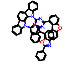 c1ccc(-c2nc(-c3cccc4oc5ccccc5c34)nc(-n3c4ccccc4c4ccc5c6ccccc6n(-c6ccc(-c7cccc8nc(-c9ccccc9)oc78)cc6)c5c43)n2)cc1